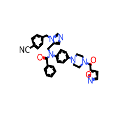 N#Cc1ccc(Cn2cncc2CN(C(=O)c2ccccc2)c2ccc(N3CCN(C(=O)c4ccno4)CC3)cc2)cc1